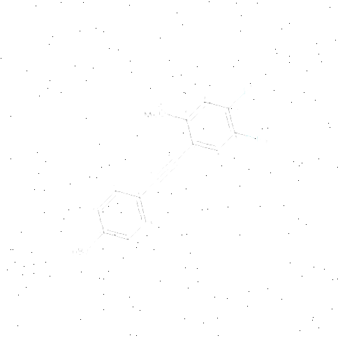 CCCCc1ccc(C#Cc2cc(F)c(F)cc2OC)cc1